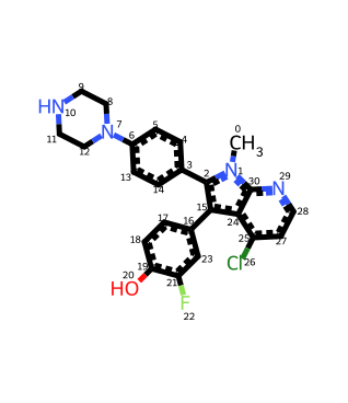 Cn1c(-c2ccc(N3CCNCC3)cc2)c(-c2ccc(O)c(F)c2)c2c(Cl)ccnc21